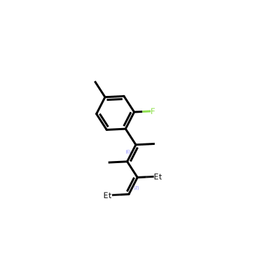 CC/C=C(CC)\C(C)=C(/C)c1ccc(C)cc1F